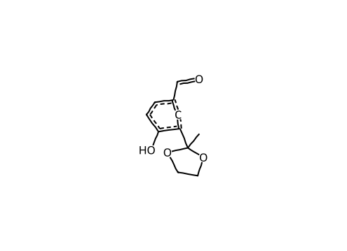 CC1(c2cc(C=O)ccc2O)OCCO1